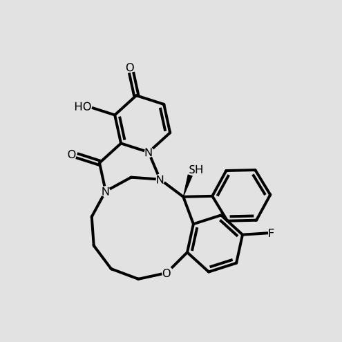 O=C1c2c(O)c(=O)ccn2N2CN1CCCCOc1ccc(F)cc1[C@@]2(S)c1ccccc1